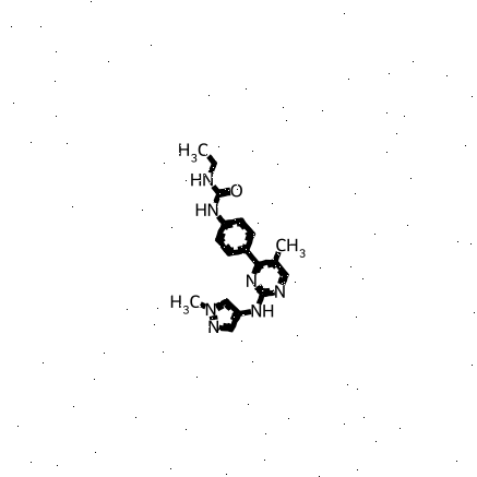 CCNC(=O)Nc1ccc(-c2nc(Nc3cnn(C)c3)ncc2C)cc1